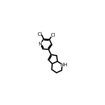 Clc1cc(C2=CC3CCCNC3C2)cnc1Cl